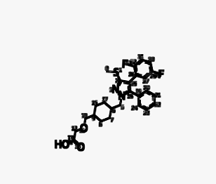 CSc1nn(CC2CCC(COCC(=O)O)CC2)c(-c2ccccc2)c1-c1cc(F)ccc1F